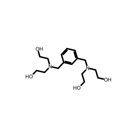 OCCN(CCO)Cc1cccc(CN(CCO)CCO)c1